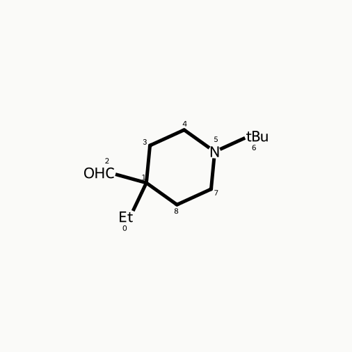 CCC1(C=O)CCN(C(C)(C)C)CC1